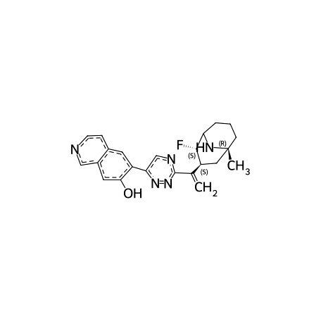 C=C(c1ncc(-c2cc3ccncc3cc2O)nn1)[C@@H]1C[C@@]2(C)CCCC(N2)[C@H]1F